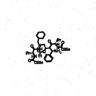 CCC(=O)O[C@@H](CN(CC1CCCCC1)NC(=O)[C@@H](NC(=O)OC)C(C)C)C(C(=O)[C@@H](NC(=O)OC)C(C)C)C(N)c1ccccc1